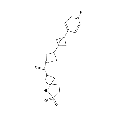 O=C(N1CC(C23CC(c4ccc(F)cc4)(C2)C3)C1)N1CC2(CCS(=O)(=O)N2)C1